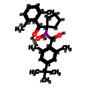 Cc1cc(C(C)(C)C)cc(C)c1C(=O)[P](=O)C1(C(=O)c2c(C)cccc2C)CCCC1